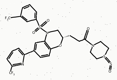 O=S=S1CCN(C(=O)CC[C@H]2CN(S(=O)(=O)c3cccc(C(F)(F)F)c3)c3cc(-c4cccc(C(F)(F)F)n4)ccc3O2)CC1